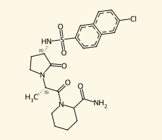 C[C@@H](C(=O)N1CCCCC1C(N)=O)N1CC[C@H](NS(=O)(=O)c2ccc3cc(Cl)ccc3c2)C1=O